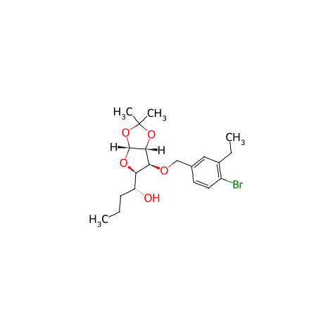 CCC[C@@H](O)[C@H]1O[C@@H]2OC(C)(C)O[C@@H]2[C@H]1OCc1ccc(Br)c(CC)c1